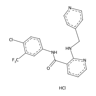 Cl.O=C(Nc1ccc(Cl)c(C(F)(F)F)c1)c1cccnc1NCc1ccncc1